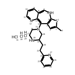 Cc1cc2c(s1)NC=c1cccnc1=C2N1CCNC(CCc2ccccn2)C1.Cl.Cl.Cl